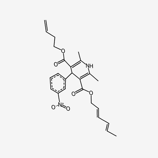 C=CCCOC(=O)C1=C(C)NC(C)=C(C(=O)OC/C=C/C=C/C)C1c1cccc([N+](=O)[O-])c1